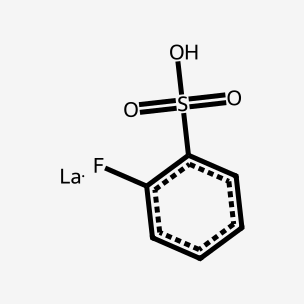 O=S(=O)(O)c1ccccc1F.[La]